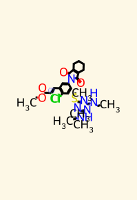 CCNc1nc(NC(C)(C)C)nc(SC)n1.CCOC(=O)/C(Cl)=C/c1cc(N2C(=O)C3=C(CCCC3)C2=O)ccc1Cl